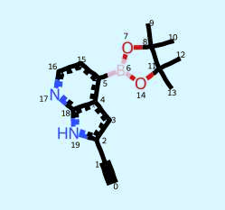 C#Cc1cc2c(B3OC(C)(C)C(C)(C)O3)ccnc2[nH]1